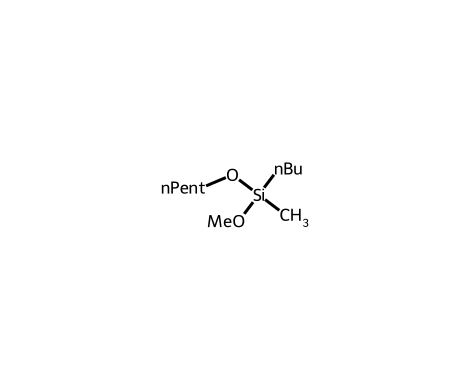 CCCCCO[Si](C)(CCCC)OC